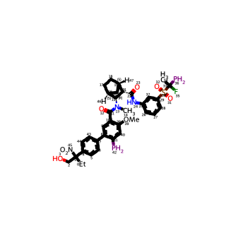 CCC(CO)(c1ccc(-c2cc(C(=O)N(C)[C@@H]3[C@H]4CC[C@@H](C4)[C@@H]3C(=O)Nc3cccc(S(=O)(=O)C(C)(F)P)c3)c(OC)cc2P)cc1)[N+](=O)[O-]